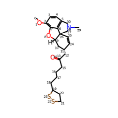 COc1ccc2c3c1O[C@H]1C[C@@H](CC(=O)CCCCC4CCSS4)C=C[C@@]31CN(C)C2